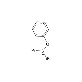 CC(C)[SiH](Oc1ccccc1)C(C)C